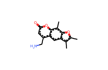 Cc1oc2c(C)c3oc(=O)cc(CN)c3cc2c1C